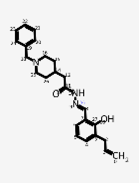 C=CCc1cccc(/C=N/NC(=O)CC2CCN(Cc3ccccc3)CC2)c1O